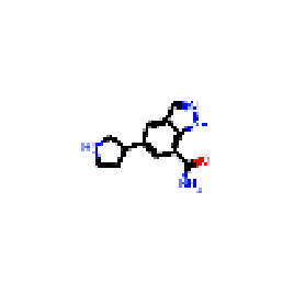 NC(=O)c1cc(C2CCNC2)cc2cn[nH]c12